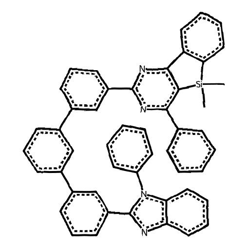 C[Si]1(C)c2ccccc2-c2nc(-c3cccc(-c4cccc(-c5cccc(-c6nc7ccccc7n6-c6ccccc6)c5)c4)c3)nc(-c3ccccc3)c21